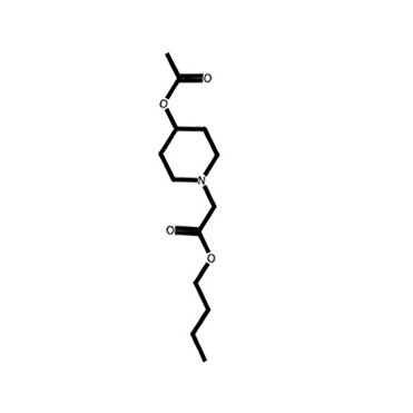 CCCCOC(=O)CN1CCC(OC(C)=O)CC1